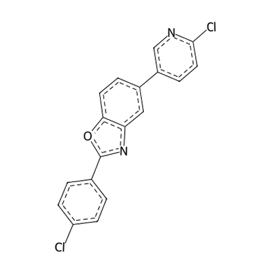 Clc1ccc(-c2nc3cc(-c4ccc(Cl)nc4)ccc3o2)cc1